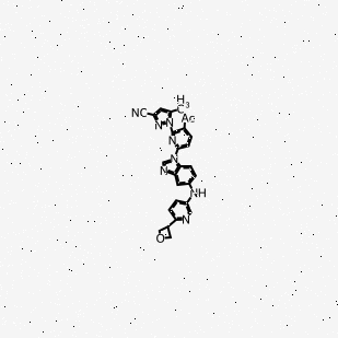 CC(=O)c1ccc(-n2cnc3cc(Nc4ccc(C5COC5)nc4)ccc32)nc1-n1nc(C#N)cc1C